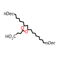 CCCCCCCCCCCCCCCCCCC(CCCCCCCCCCCCCCCCC)OC(=O)CCC(=O)O